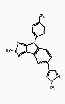 Cn1cc2c3cc(-c4nnn(C)n4)ccc3n(-c3ccc(C(F)(F)F)cc3)c2n1